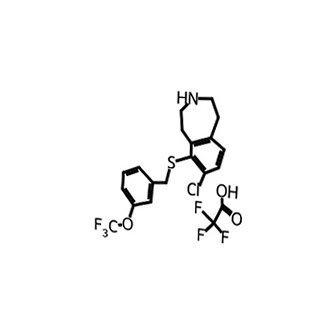 FC(F)(F)Oc1cccc(CSc2c(Cl)ccc3c2CCNCC3)c1.O=C(O)C(F)(F)F